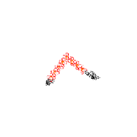 O=P([O-])([O-])[O-].O=P([O-])([O-])[O-].O=P([O-])([O-])[O-].O=P([O-])([O-])[O-].O=P([O-])([O-])[O-].O=P([O-])([O-])[O-].O=P([O-])([O-])[O-].O=P([O-])([O-])[O-].[Ba+2].[Ba+2].[Ba+2].[Cu+2].[Cu+2].[Cu+2].[Zr+4].[Zr+4].[Zr+4]